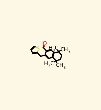 CC1(C)CCC(C)(C)c2cc(Cc3cccs3)c(C=O)cc21